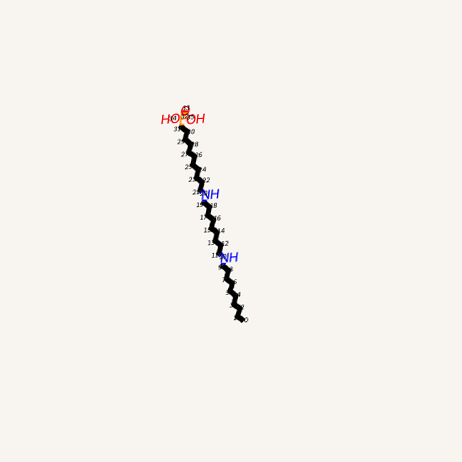 CCCCCCCCCCNCCCCCCCCCNCCCCCCCCCCCP(=O)(O)O